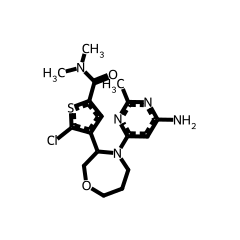 Cc1nc(N)cc(N2CCCOCC2c2cc(C(=O)N(C)C)sc2Cl)n1